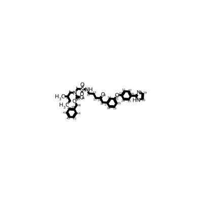 CCC(C)CN(CS(=O)(=O)NCCCC(=O)Cc1cccc(Oc2ccc(-c3ncc[nH]3)cc2)c1)C(=O)OCc1ccccc1